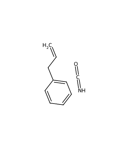 C=CCc1ccccc1.N=C=O